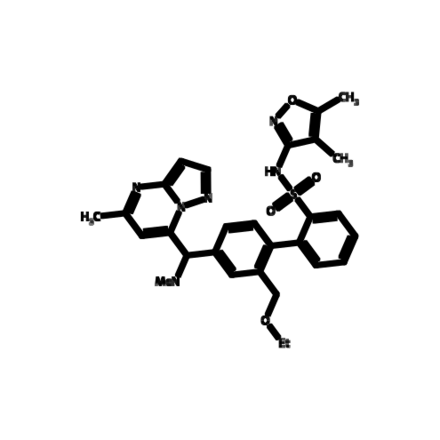 CCOCc1cc(C(NC)c2cc(C)nc3ccnn23)ccc1-c1ccccc1S(=O)(=O)Nc1noc(C)c1C